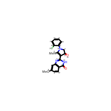 CNC1=C(c2nc3cc(OC)ccc3c(=O)[nH]2)C(=O)CN1c1ccccc1F